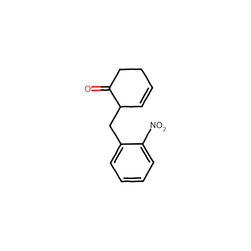 O=C1CCC=CC1Cc1ccccc1[N+](=O)[O-]